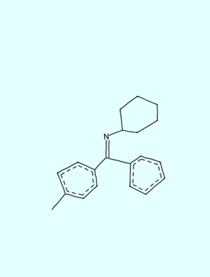 Cc1ccc(C(=NC2CCCCC2)c2ccccc2)cc1